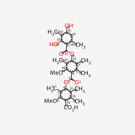 COc1c(C)c(OC(=O)c2c(C)c(C)c(OC(=O)c3c(C)cc(O)c(C)c3O)c(C)c2OC)c(C)c(C)c1C(=O)O